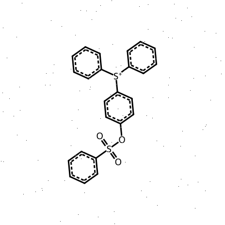 O=S(=O)(Oc1ccc([S+](c2ccccc2)c2ccccc2)cc1)c1ccccc1